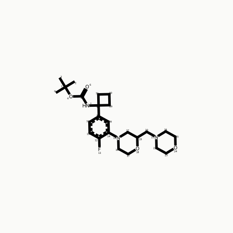 CC(C)(C)OC(=O)NC1(c2ccc(F)c(N3CCOC(CN4CCOCC4)C3)c2)CCC1